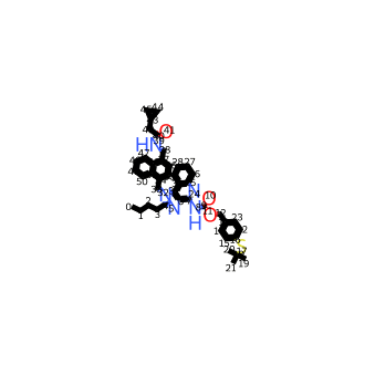 CCCCc1nc2c(NC(=O)OCc3ccc(SC(C)(C)C)cc3)nc3ccccc3c2n1Cc1ccc(CNC(=O)CC2CC2)c2ccccc12